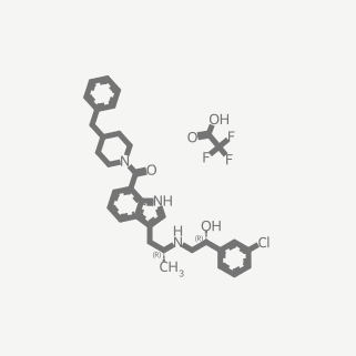 C[C@H](Cc1c[nH]c2c(C(=O)N3CCC(Cc4ccccc4)CC3)cccc12)NC[C@H](O)c1cccc(Cl)c1.O=C(O)C(F)(F)F